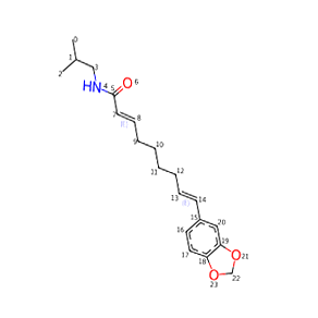 CC(C)CNC(=O)/C=C/CCCC/C=C/c1ccc2c(c1)OCO2